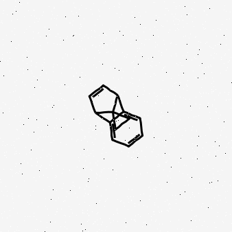 C1=CC2c3ccccc3C1C21CC1